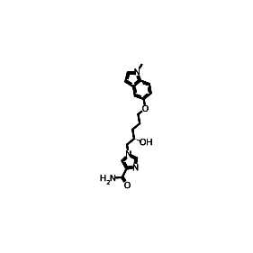 Cn1ccc2cc(OCCC[C@H](O)Cn3cnc(C(N)=O)c3)ccc21